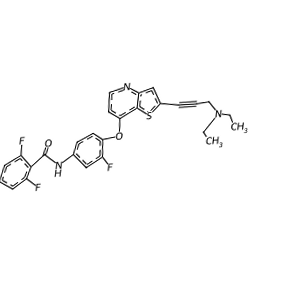 CCN(CC)CC#Cc1cc2nccc(Oc3ccc(NC(=O)c4c(F)cccc4F)cc3F)c2s1